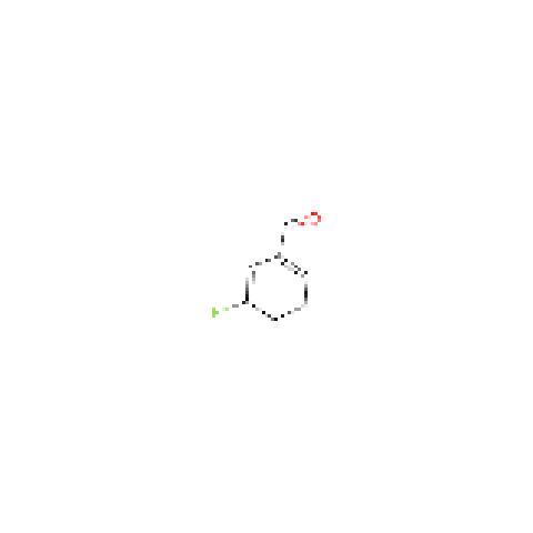 O=CC1=CCCC(F)=C1